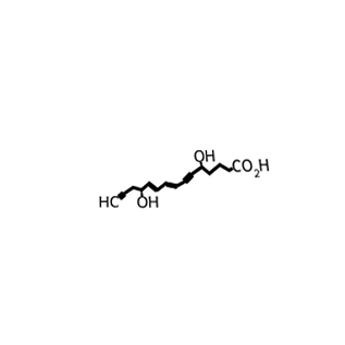 C#CC[C@H](O)/C=C/C=C/C#C[C@@H](O)CCCC(=O)O